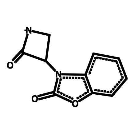 O=C1[N]CC1n1c(=O)oc2ccccc21